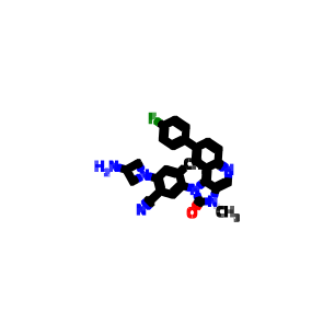 Cc1cc(N2CC(N)C2)c(C#N)cc1-n1c(=O)n(C)c2cnc3ccc(-c4ccc(F)cc4)cc3c21